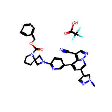 Cn1cc(-c2cc(-c3ccc(N4CC5(CCCN5C(=O)OCc5ccccc5)C4)nc3)c3c(C#N)cnn3c2)cn1.O=C(O)C(F)(F)F